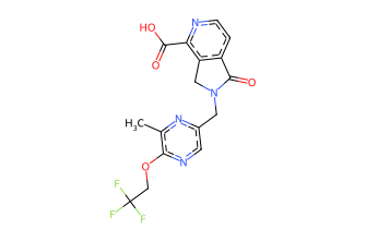 Cc1nc(CN2Cc3c(ccnc3C(=O)O)C2=O)cnc1OCC(F)(F)F